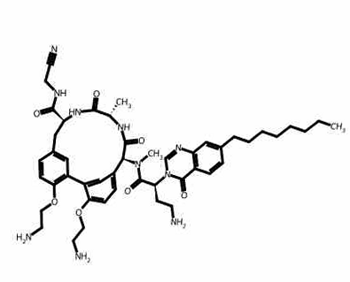 CCCCCCCCc1ccc2c(=O)n([C@@H](CCN)C(=O)N(C)[C@@H]3C(=O)N[C@@H](C)C(=O)N[C@H](C(=O)NCC#N)Cc4ccc(OCCN)c(c4)-c4cc3ccc4OCCN)cnc2c1